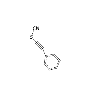 N#CSC#Cc1ccccc1